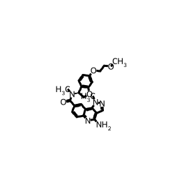 COCCOc1ccc2c(c1)OC[C@H]2N(C)C(=O)c1ccc2nc(N)c3cnn(C)c3c2c1